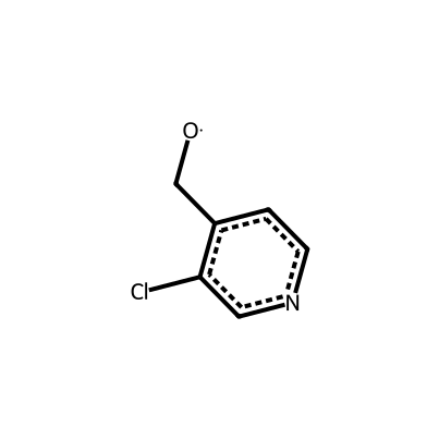 [O]Cc1ccncc1Cl